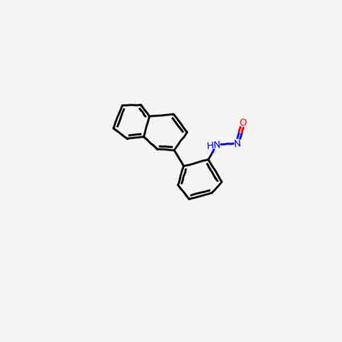 O=NNc1ccccc1-c1ccc2ccccc2c1